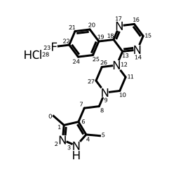 Cc1n[nH]c(C)c1CCN1CCN(c2nccnc2-c2ccc(F)cc2)CC1.Cl